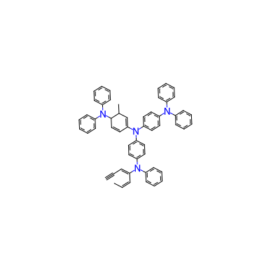 C#C/C=C(\C=C/C)N(c1ccccc1)c1ccc(N(C2=CC(C)C(N(c3ccccc3)c3ccccc3)C=C2)c2ccc(N(c3ccccc3)c3ccccc3)cc2)cc1